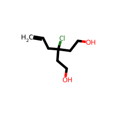 C=CCC(Cl)(CCO)CCO